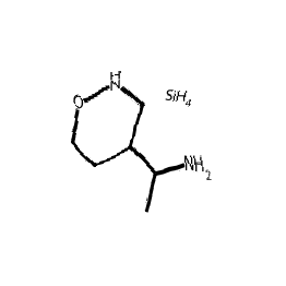 CC(N)C1CCONC1.[SiH4]